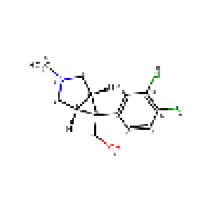 O=C(O)N1C[C@@H]2[C@H](C1)[C@]2(CO)c1ccc(Cl)c(Cl)c1